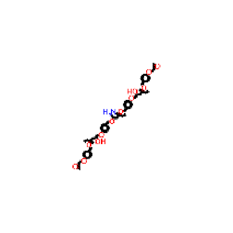 CCC(C)(CC(O)COC1CCC(COC(CN)CC(C)(CC)OCC2CCC(OCC(O)CC(C)(CC)OCC3CCC(OCC4CO4)CC3)CC2)CC1)OCC1CCC(OCC2CO2)CC1